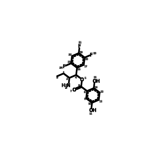 CCC(N)C(OC(=O)c1cc(O)ccc1O)c1cc(F)c(F)cc1F